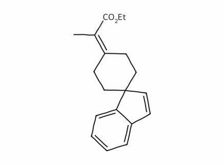 CCOC(=O)C(C)=C1CCC2(C=Cc3ccccc32)CC1